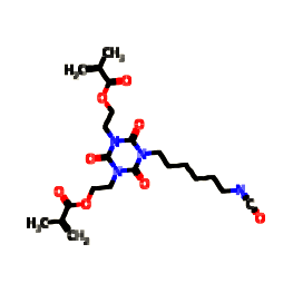 C=C(C)C(=O)OCCn1c(=O)n(CCCCCCN=C=O)c(=O)n(CCOC(=O)C(=C)C)c1=O